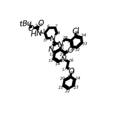 CC(C)(C)OC(=O)N[C@@H]1CCCN(c2nc3ccn(CCOc4ccccc4)c(=O)c3n2Cc2ccccc2Cl)C1